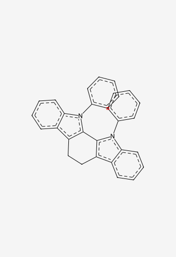 c1ccc(-n2c3c(c4ccccc42)CCc2c-3n(-c3ccccc3)c3ccccc23)cc1